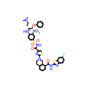 CN(C)CC[C@H](COc1ccccc1)Nc1ccc(S(=O)(=O)NC(=O)c2csc(N3CCc4cccc(C(=O)Nc5nc6ccc(F)cc6s5)c4C3)n2)cc1[N+](=O)[O-]